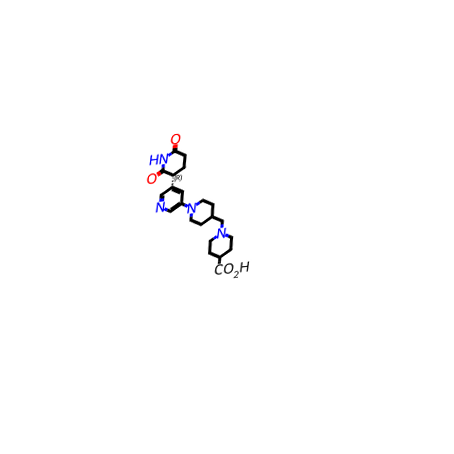 O=C1CC[C@H](c2cncc(N3CCC(CN4CCC(C(=O)O)CC4)CC3)c2)C(=O)N1